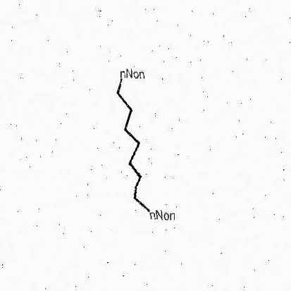 CCCCC[CH]CCCCCCCCCCCCCCCCCCC